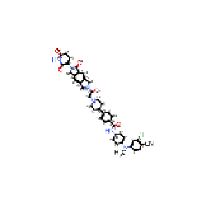 CN(c1ccc(C#N)c(Cl)c1)[C@H]1CC[C@H](NC(=O)c2ccc(C3CCN(CC(=O)N4Cc5cc6c(cc5C4)C(=O)N(C4CCC(=O)NC4=O)C6)CC3)cc2)CC1